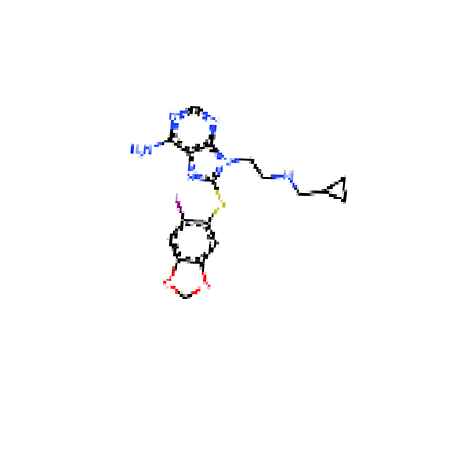 Nc1ncnc2c1nc(Sc1cc3c(cc1I)OCO3)n2CCNCC1CC1